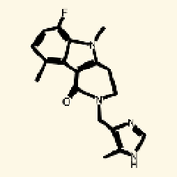 Cc1[nH]cnc1CN1CCc2c(c3c(C)ccc(F)c3n2C)C1=O